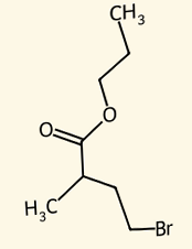 CCCOC(=O)C(C)CCBr